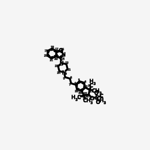 CC1(C)c2ccc(CCCN3CCN(c4noc5ccccc45)CC3)cc2C(C)(C)C1OS(C)(=O)=O